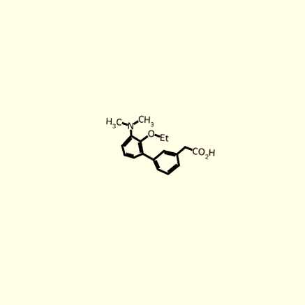 CCOc1c(-c2cccc(CC(=O)O)c2)cccc1N(C)C